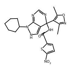 Cc1noc(C)c1C1(NC(=O)c2ccc([N+](=O)[O-])s2)N=CN=C2C1=CNN2C1CCCCC1